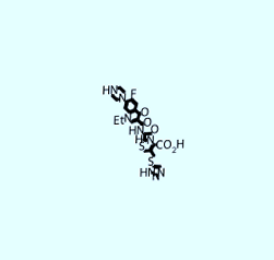 CCn1cc(C(=O)NC2C(=O)N3C(C(=O)O)=C(CSc4cnn[nH]4)CS[C@@H]23)c(=O)c2cc(F)c(N3CCNCC3)cc21